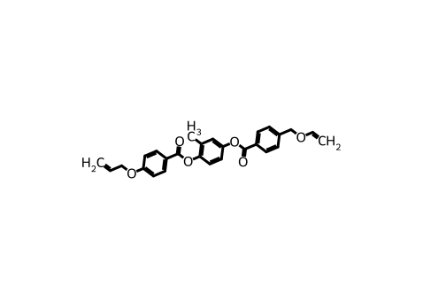 C=CCOc1ccc(C(=O)Oc2ccc(OC(=O)c3ccc(COC=C)cc3)cc2C)cc1